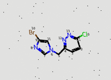 Clc1ccc(Cn2cnc(Br)c2)nn1